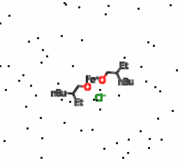 CCCCC(CC)C[O][Fe+][O]CC(CC)CCCC.[Cl-]